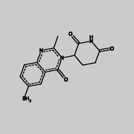 Bc1ccc2nc(C)n(C3CCC(=O)NC3=O)c(=O)c2c1